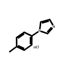 Cc1ccc(-n2ccnc2)cc1.Cl